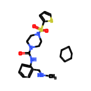 C1CCCCC1.CNCc1ccccc1NC(=O)N1CCN(S(=O)(=O)c2cccs2)CC1